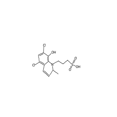 CC1C=Cc2c(Cl)cc(Cl)c(O)c2N1CCCS(=O)(=O)O